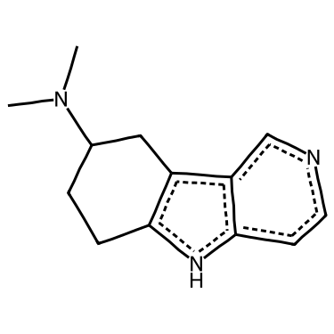 CN(C)C1CCc2[nH]c3ccncc3c2C1